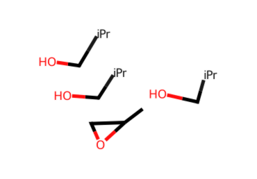 CC(C)CO.CC(C)CO.CC(C)CO.CC1CO1